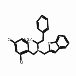 O=C(O)C(Cc1ccccc1)N(Cc1cc2ccccc2o1)Cc1ccc(Cl)cc1Cl